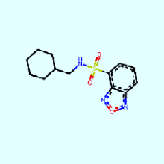 O=S(=O)(NCC1CCCCC1)c1cccc2nonc12